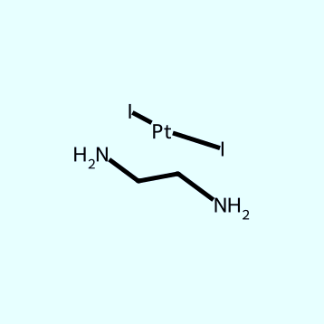 NCCN.[I][Pt][I]